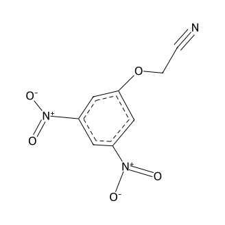 N#CCOc1cc([N+](=O)[O-])cc([N+](=O)[O-])c1